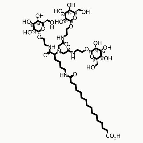 O=C(O)CCCCCCCCCCCCCCC(=O)NCCCCC(C(=O)NCCO[C@H]1O[C@H](CO)[C@@H](O)[C@H](O)[C@@H]1O)N(CC(=O)NCCO[C@H]1O[C@H](CO)[C@@H](O)[C@H](O)[C@@H]1O)CC(=O)NCCO[C@H]1O[C@H](CO)[C@@H](O)[C@H](O)[C@@H]1O